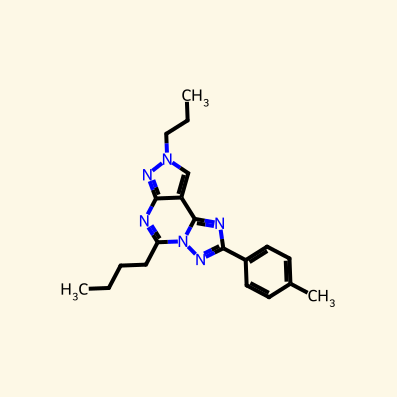 CCCCc1nc2nn(CCC)cc2c2nc(-c3ccc(C)cc3)nn12